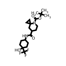 CC(C)(C)OC(=O)N1CCC(C(=O)NC2CCC(O)(C(F)(F)F)CC2)CC12CC2